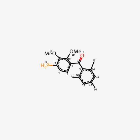 COc1c(P)ccc(C(=O)c2c(C)cc(C)cc2C)c1OC